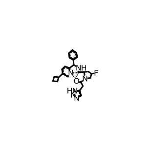 O=C(NC(c1ccccc1)c1ccc(C2CCC2)cn1)C1CC(F)CN1C(=O)Cc1cnn[nH]1